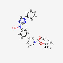 CC(C)(C)OC(=O)N1CCCC(c2ccc(N(O)c3ncn(-c4ccccc4)n3)cc2)C1